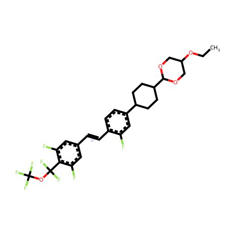 CCOC1COC(C2CCC(c3ccc(/C=C/c4cc(F)c(C(F)(F)OC(F)(F)F)c(F)c4)c(F)c3)CC2)OC1